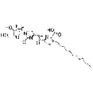 CCCCCCCCCCCCc1ccc(C(=O)Nc2ccn([C@@H]3O[C@H](CO)[C@@H](O)C3(F)F)c(=O)n2)nc1C(=O)O